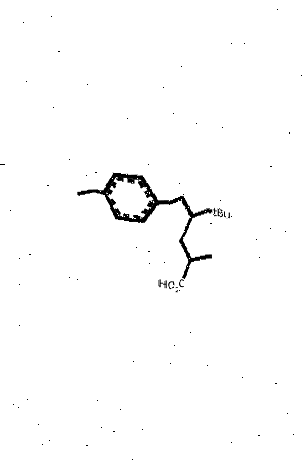 Cc1ccc(CC(CC(C)C(=O)O)C(C)(C)C)cc1